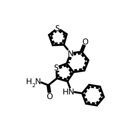 NC(=O)c1sc2c(ccc(=O)n2-c2ccsc2)c1Nc1ccccc1